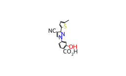 Cc1ccc(-c2nn(-c3ccc(C(=O)O)c(O)c3)cc2C#N)s1